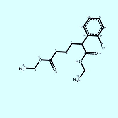 CCOC(=O)CCCC(C(=O)OCC)c1ccccc1F